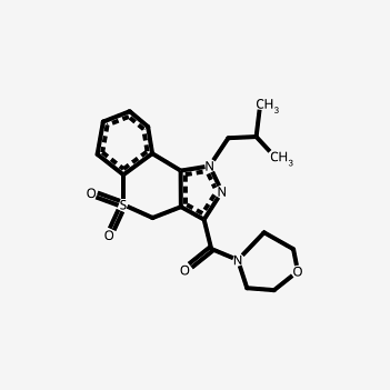 CC(C)Cn1nc(C(=O)N2CCOCC2)c2c1-c1ccccc1S(=O)(=O)C2